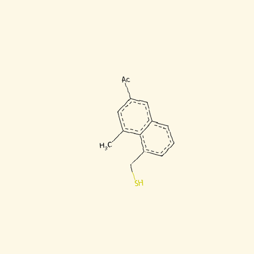 CC(=O)c1cc(C)c2c(CS)cccc2c1